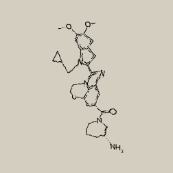 COc1cc2cc(-c3nc4cc(C(=O)N5CCC[C@@H](N)C5)cc5c4n3CCO5)n(CC3CC3)c2cc1OC